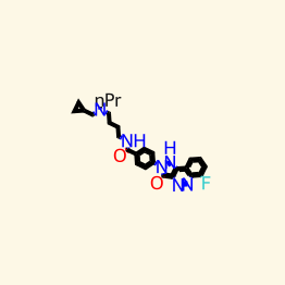 CCCN(CCCCNC(=O)c1ccc(-n2[nH]c3c(nnc4c(F)cccc43)c2=O)cc1)CC1CC1